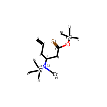 C=CCC(CC(=S)O[Si](C)(C)C)N(CC)[Si](C)(C)C